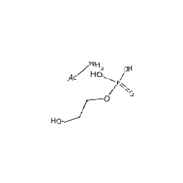 CC(N)=O.O=P(O)(O)OCCO